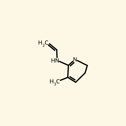 C=CNC1=NCCC=C1C